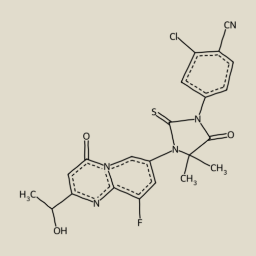 CC(O)c1cc(=O)n2cc(N3C(=S)N(c4ccc(C#N)c(Cl)c4)C(=O)C3(C)C)cc(F)c2n1